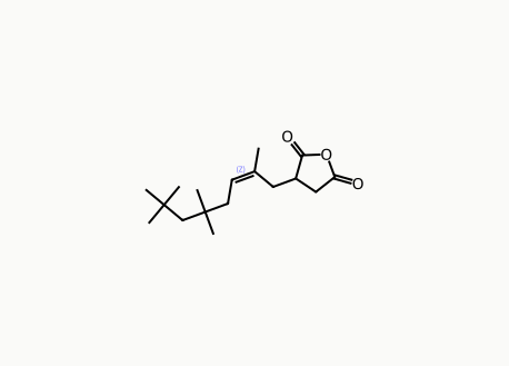 C/C(=C/CC(C)(C)CC(C)(C)C)CC1CC(=O)OC1=O